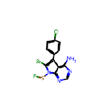 Nc1ncnc2c1c(-c1ccc(Cl)cc1)c(Br)n2SF